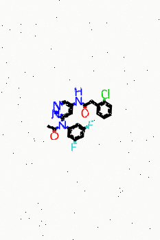 CC(=O)N(c1cc(F)cc(F)c1)c1cc(NC(=O)Cc2ccccc2Cl)cnn1